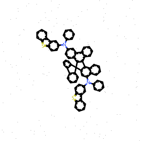 c1ccc(N(c2ccc3sc4ccccc4c3c2)c2ccc3c4c(c5ccccc5c3c2)-c2c(cc(N(c3ccccc3)c3ccc5sc6ccccc6c5c3)c3ccccc23)C42c3ccccc3-c3ccccc32)cc1